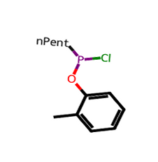 CCCCCP(Cl)Oc1ccccc1C